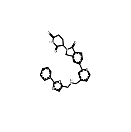 O=C1CCC(N2Cc3cc(-c4cc(CNCc5csc(-c6ccccc6)n5)ccn4)ccc3C2=O)C(=O)N1